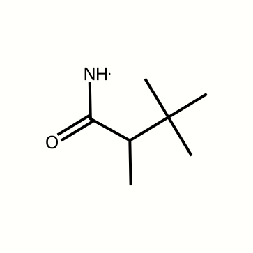 CC(C([NH])=O)C(C)(C)C